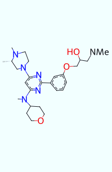 CNCC(O)COc1cccc(-c2nc(N3CCN(C)[C@@H](C)C3)cc(N(C)C3CCOCC3)n2)c1